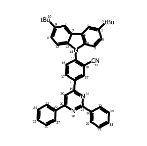 CC(C)(C)c1ccc2c(c1)c1cc(C(C)(C)C)ccc1n2-c1ccc(-c2cc(-c3ccccc3)nc(-c3ccccc3)n2)cc1C#N